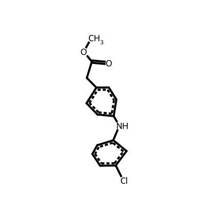 COC(=O)Cc1ccc(Nc2cccc(Cl)c2)cc1